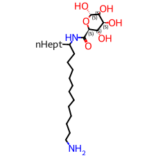 CCCCCCCC(CCCCCCCCCCCCN)NC(=O)[C@H]1O[C@H](O)[C@@H](O)[C@@H](O)[C@@H]1O